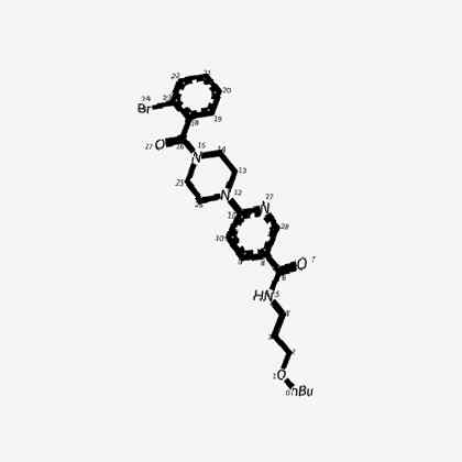 CCCCOCCCNC(=O)c1ccc(N2CCN(C(=O)c3ccccc3Br)CC2)nc1